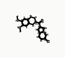 COc1cc2c(cc1OC)CN(C(=O)c1cc3ccc(Cl)cn3n1)CC2